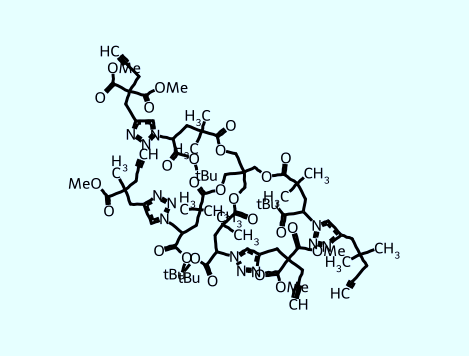 C#CCC(C)(C)Cc1cn(C(CC(C)(C)C(=O)OCC(COC(=O)C(C)(C)CC(C(=O)OC(C)(C)C)n2cc(CC(C)(CC#C)C(=O)OC)nn2)(COC(=O)C(C)(C)CC(C(=O)OC(C)(C)C)n2cc(CC(CC#C)(C(=O)OC)C(=O)OC)nn2)COC(=O)C(C)(C)CC(C(=O)OC(C)(C)C)n2cc(CC(CC#C)(C(=O)OC)C(=O)OC)nn2)C(=O)C(C)(C)C)nn1